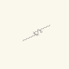 CCCCCCCCCN1C(C)(C)CC(OC(=O)CCCCCCC)CC1(C)C